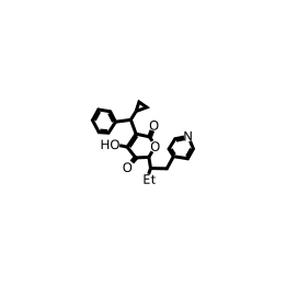 CCC(Cc1ccncc1)C1OC(=O)C(C(c2ccccc2)C2CC2)=C(O)C1=O